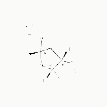 C[C@@H]1CC[C@]2(C[C@@H]3OC(=O)C[C@@H]3O2)O1